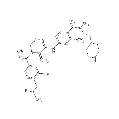 C=C(c1ccc(NC2=NC=CN(/C(=C\C)c3ccc(CC(C)F)c(F)c3)C2=C)cc1C)N(C)CCC1CCNCC1